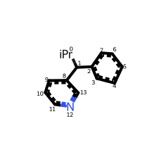 CC(C)C(c1ccccc1)c1cccnc1